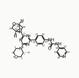 C[C@@H]1COCCN1c1nc(-c2ccc(NC(=O)Nc3ccncc3)cc2)nc(N2C[C@@H]3C[C@H]2CO3)n1